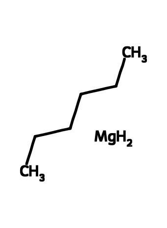 CCCCCC.[MgH2]